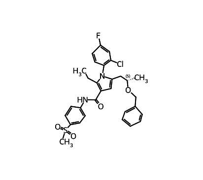 CCc1c(C(=O)Nc2ccc(S(C)(=O)=O)cc2)cc(C[C@H](C)OCc2ccccc2)n1-c1ccc(F)cc1Cl